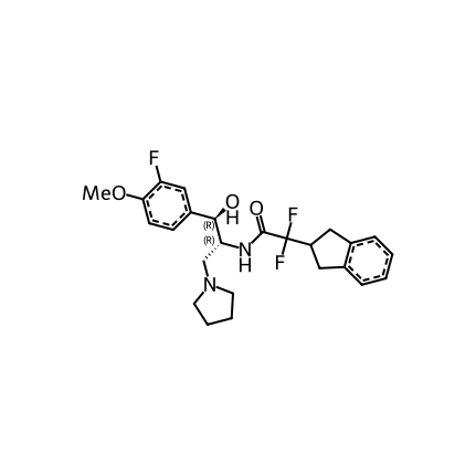 COc1ccc([C@@H](O)[C@@H](CN2CCCC2)NC(=O)C(F)(F)C2Cc3ccccc3C2)cc1F